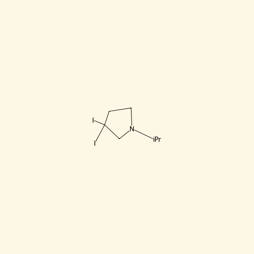 CC(C)N1CCC(I)(I)C1